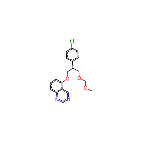 COCOCC(COc1cccc2ncncc12)c1ccc(Cl)cc1